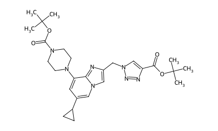 CC(C)(C)OC(=O)c1cn(Cc2cn3cc(C4CC4)cc(N4CCN(C(=O)OC(C)(C)C)CC4)c3n2)nn1